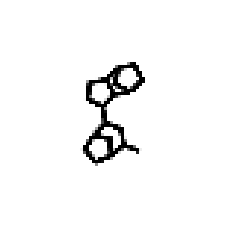 CC1CC(C2CCC3C4CCC(C4)C32)C2CCC1C2